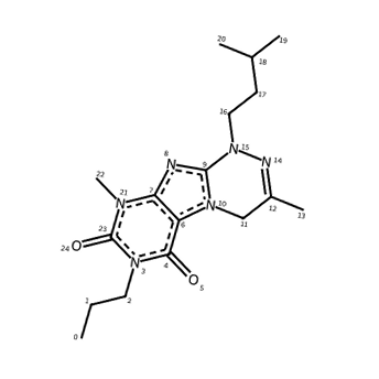 CCCn1c(=O)c2c(nc3n2CC(C)=NN3CCC(C)C)n(C)c1=O